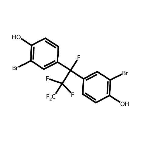 Oc1ccc(C(F)(c2ccc(O)c(Br)c2)C(F)(F)C(F)(F)F)cc1Br